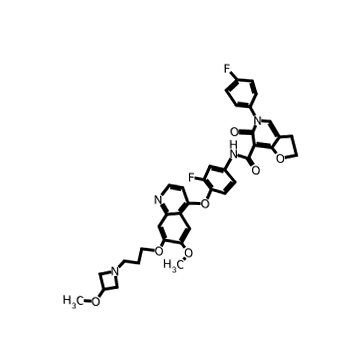 COc1cc2c(Oc3ccc(NC(=O)c4c5c(cn(-c6ccc(F)cc6)c4=O)CCO5)cc3F)ccnc2cc1OCCCN1CC(OC)C1